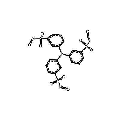 O=NS(=O)(=O)c1cccc(P(c2cccc(S(=O)(=O)N=O)c2)c2cccc(S(=O)(=O)N=O)c2)c1